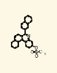 O=S(=O)(Oc1ccc2c(c1)nc(-c1ccc3ccccc3c1)c1ccc3ccccc3c12)C(F)(F)F